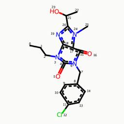 CCCn1c(=O)n(Cc2ccc(Cl)cc2)c(=O)c2c1nc(C(C)O)n2C